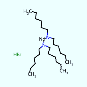 Br.CCCCCC[N](CCCCCC)[Nd][N](CCCCCC)CCCCCC